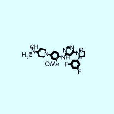 COc1cc(N2CCC(N(C)C)CC2)ccc1Nc1cc(N2OCC[C@@H]2c2cc(F)cc(F)c2)ncn1